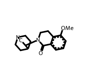 COc1cccc2c1CCN(C1CN3CCC1CC3)C2=O